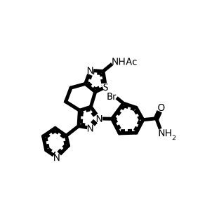 CC(=O)Nc1nc2c(s1)-c1c(c(-c3cccnc3)nn1-c1ccc(C(N)=O)cc1Br)CC2